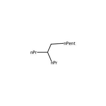 C[CH]CC(CCC)CCCCCC